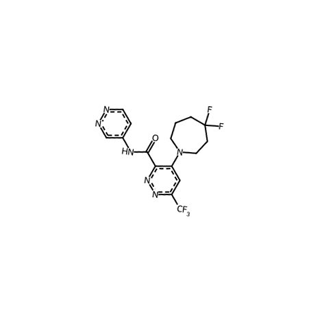 O=C(Nc1ccnnc1)c1nnc(C(F)(F)F)cc1N1CCCC(F)(F)CC1